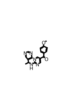 COc1ccc(C(=O)c2cnc(NC(C)c3cncnc3)nc2)cc1